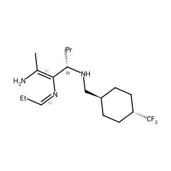 CC/C=N\C(=C(\C)N)[C@@H](NC[C@H]1CC[C@H](C(F)(F)F)CC1)C(C)C